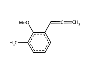 C=C=Cc1cccc(C)c1OC